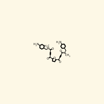 CN(Cc1ccc(N)cc1)C(=O)C#CC(=O)c1ccc(C(=O)C#CC(=O)N(C)Cc2ccc(N)cc2)o1